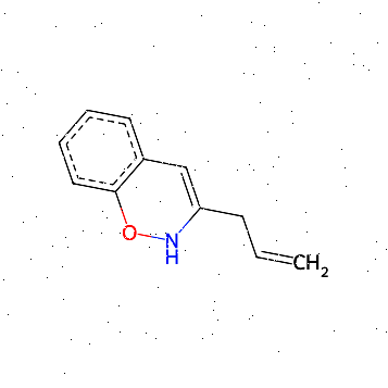 C=CCC1=Cc2ccccc2ON1